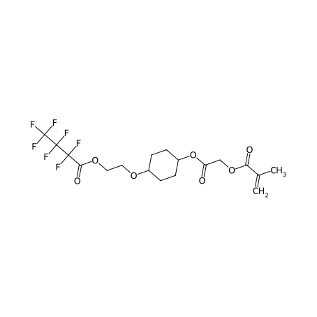 C=C(C)C(=O)OCC(=O)OC1CCC(OCCOC(=O)C(F)(F)C(F)(F)C(F)(F)F)CC1